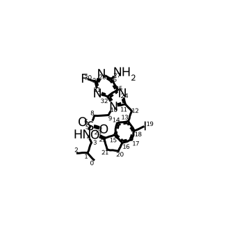 CC(C)CNS(=O)(=O)CCn1c(Cc2cc3c(cc2I)CCC3=O)nc2c(N)nc(F)nc21